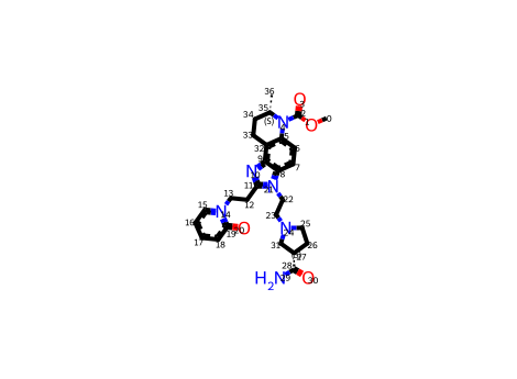 COC(=O)N1c2ccc3c(nc(CCn4ccccc4=O)n3CCN3CC[C@H](C(N)=O)C3)c2CC[C@@H]1C